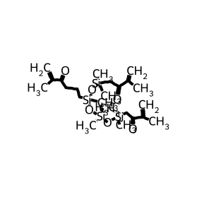 C=C(C)C(=O)CCC[Si](C)(O[Si](C)(C)CC(=O)C(=C)C)O[Si](C)(C)O[Si](C)(C)CC(=O)C(=C)C